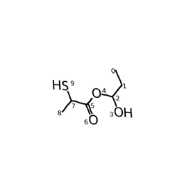 CCC(O)OC(=O)C(C)S